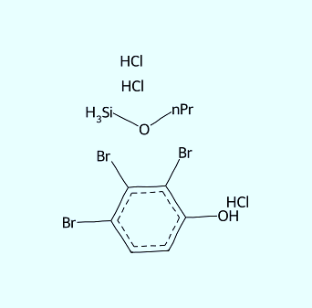 CCCO[SiH3].Cl.Cl.Cl.Oc1ccc(Br)c(Br)c1Br